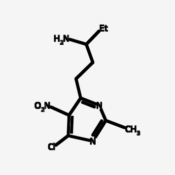 CCC(N)CCc1nc(C)nc(Cl)c1[N+](=O)[O-]